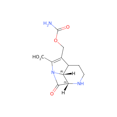 NC(=O)OCC1=C(C(=O)O)N2C(=O)[C@H]3NCCC1[C@H]32